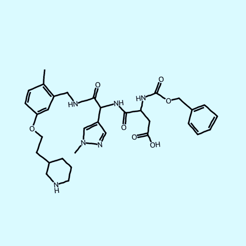 Cc1ccc(OCCC2CCCNC2)cc1CNC(=O)C(NC(=O)C(CC(=O)O)NC(=O)OCc1ccccc1)c1cnn(C)c1